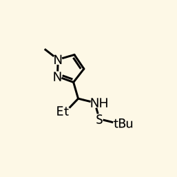 CCC(NSC(C)(C)C)c1ccn(C)n1